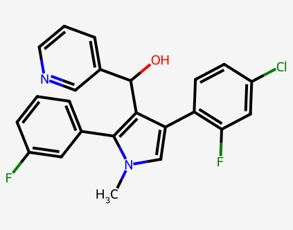 Cn1cc(-c2ccc(Cl)cc2F)c(C(O)c2cccnc2)c1-c1cccc(F)c1